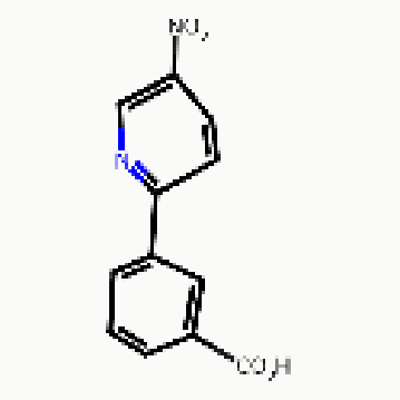 O=C(O)c1cccc(-c2ccc([N+](=O)[O-])cn2)c1